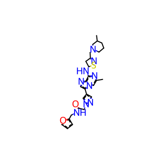 Cc1cn2c(-c3cnn(CC(=O)NCc4ccco4)c3)cnc2c(NC2CC(CN3CCCC(C)C3)=NS2)n1